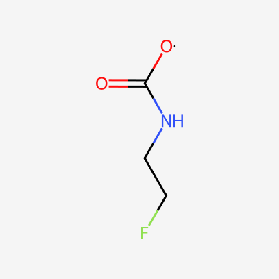 [O]C(=O)NCCF